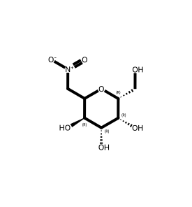 O=[N+]([O-])CC1O[C@H](CO)[C@H](O)[C@H](O)[C@H]1O